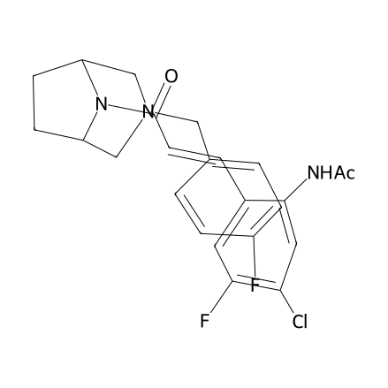 CC(=O)Nc1cc(Cl)c(F)cc1C=CC(=O)N1C2CCC1CN(Cc1ccc(F)cc1)C2